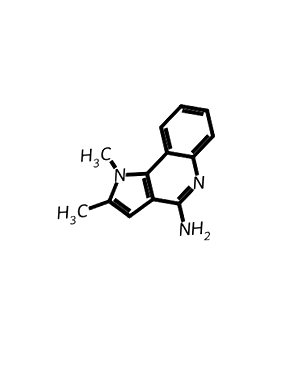 Cc1cc2c(N)nc3ccccc3c2n1C